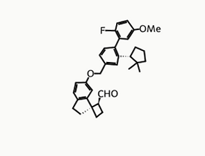 COc1ccc(F)c(-c2ccc(COc3ccc4c(c3)[C@]3(CC4)CC[C@@H]3C=O)cc2[C@@H]2CCCC2(C)C)c1